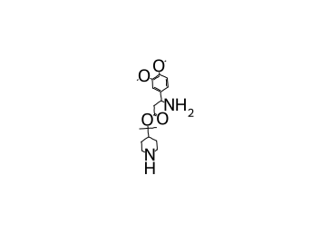 COc1ccc(C(N)CC(=O)OC(C)(C)C2CCNCC2)cc1OC